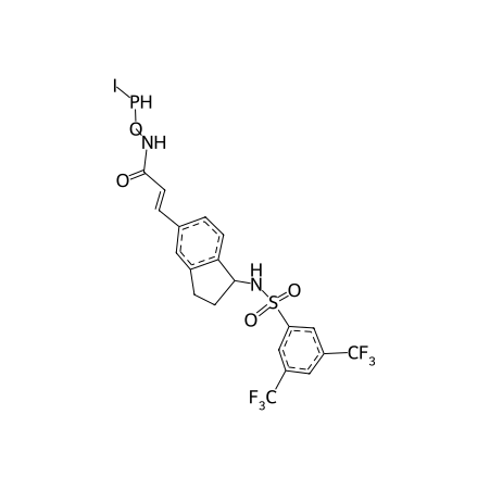 O=C(/C=C/c1ccc2c(c1)CCC2NS(=O)(=O)c1cc(C(F)(F)F)cc(C(F)(F)F)c1)NOPI